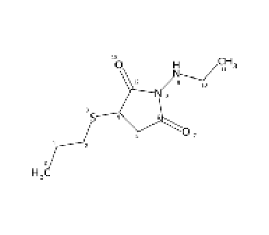 CCCSC1CC(=O)N(NCC)C1=O